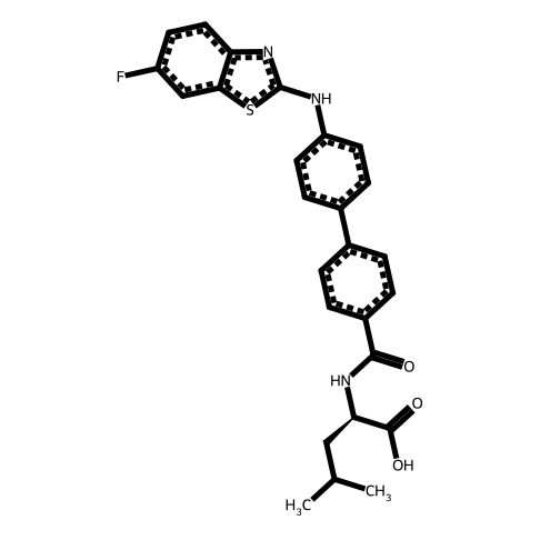 CC(C)C[C@@H](NC(=O)c1ccc(-c2ccc(Nc3nc4ccc(F)cc4s3)cc2)cc1)C(=O)O